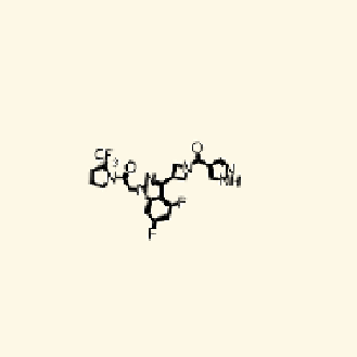 O=C(c1cn[nH]c1)N1CC(c2nn(CC(=O)N3CCC[C@H]3C(F)(F)F)c3cc(F)cc(F)c23)C1